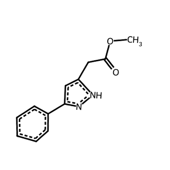 COC(=O)Cc1cc(-c2ccccc2)n[nH]1